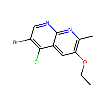 CCOc1cc2c(Cl)c(Br)cnc2nc1C